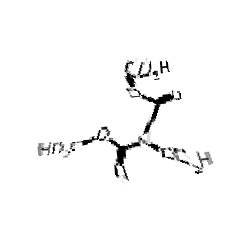 O=C(O)OC(=O)N(C(=O)O)C(=O)OC(=O)O